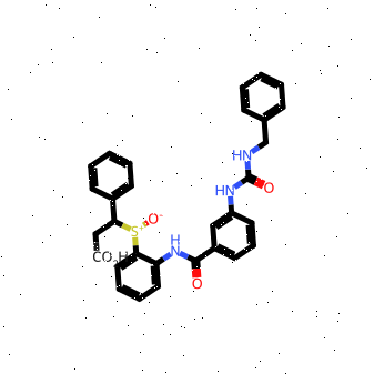 O=C(O)CC(c1ccccc1)[S+]([O-])c1ccccc1NC(=O)c1cccc(NC(=O)NCc2ccccc2)c1